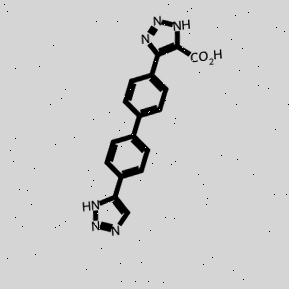 O=C(O)c1[nH]nnc1-c1ccc(-c2ccc(-c3cnn[nH]3)cc2)cc1